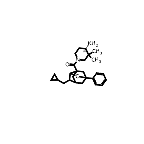 CC1(C)CN(C(=O)C23CC4CC(c5ccccc5)(CC2C4CC2CC2)C3)CC[C@@H]1N